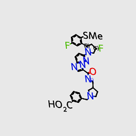 CSc1ccc(F)cc1[C@H]1C[C@H](F)CN1c1ccc2ncc(C(=O)/N=C/C3CCN(Cc4cccc(C(=O)O)c4)C3)n2n1